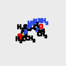 C[C@@H](C1CC1)n1cc(-c2cc(N3CCS(=O)(=O)C(C)(C)C3)n(C)n2)c2[nH]nc(N)c2c1=O